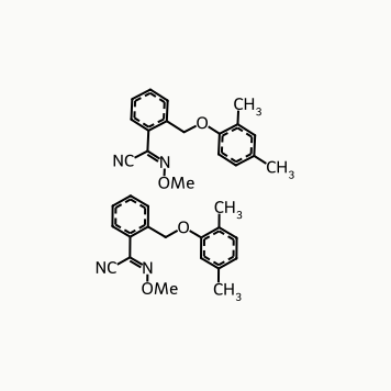 CON=C(C#N)c1ccccc1COc1cc(C)ccc1C.CON=C(C#N)c1ccccc1COc1ccc(C)cc1C